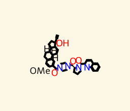 C#C[C@]1(O)CC[C@H]2[C@@H]3CCc4cc(OC)c(C(=O)N5CCN(C(=O)[C@@H]6CCCN6C(=O)c6ccc7ccccc7n6)CC5)cc4[C@H]3CC[C@@]21C